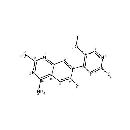 COc1cnc(Cl)cc1-c1cc2nc(N)nc(N)c2cc1C